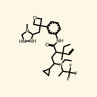 C=CC(C)(CC)C(CC(C1CC1)N(CC)C(C)C(F)(F)F)C(=O)Nc1cccc(C2(CC3NNCN3C)COC2)c1